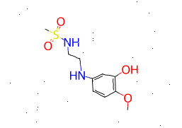 COc1ccc(NCCNS(C)(=O)=O)cc1O